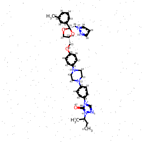 CCC(C)n1ncn(-c2ccc(N3CCN(c4ccc(OC[C@@H]5CO[C@@](Cn6cccn6)(c6cccc(C)c6)O5)cc4)CC3)cc2)c1=O